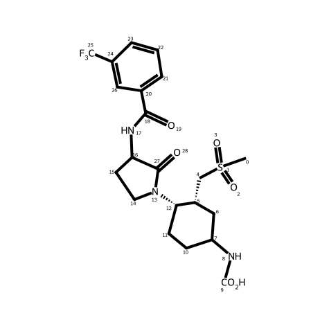 CS(=O)(=O)C[C@@H]1CC(NC(=O)O)CC[C@@H]1N1CCC(NC(=O)c2cccc(C(F)(F)F)c2)C1=O